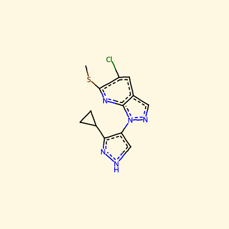 CSc1nc2c(cnn2-c2c[nH]nc2C2CC2)cc1Cl